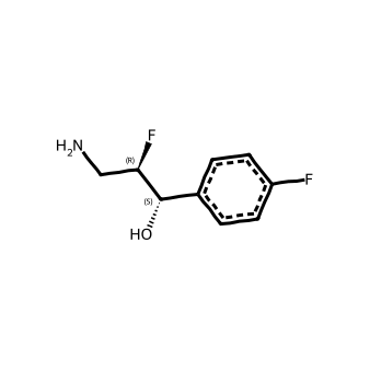 NC[C@@H](F)[C@@H](O)c1ccc(F)cc1